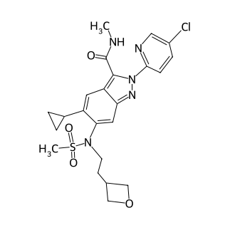 CNC(=O)c1c2cc(C3CC3)c(N(CCC3COC3)S(C)(=O)=O)cc2nn1-c1ccc(Cl)cn1